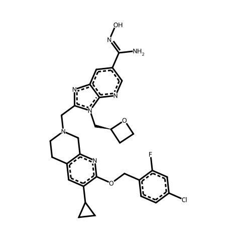 N/C(=N\O)c1cnc2c(c1)nc(CN1CCc3cc(C4CC4)c(OCc4ccc(Cl)cc4F)nc3C1)n2C[C@@H]1CCO1